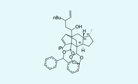 C=CC(CCCC)CC(O)C12C[C@@H]3[C@H](C)CC[C@H]3C3(C4OCCO4)CC1C=C(C(C)C)C23C(=O)OC(c1ccccc1)c1ccccc1